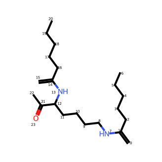 C=C(CCCCC)NCCCCC(NC(=C)CCCCC)C(C)=O